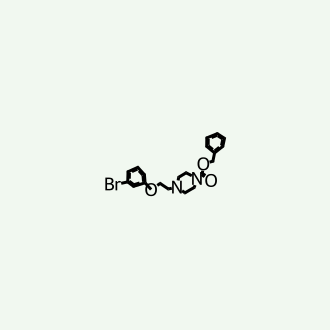 O=C(OCc1ccccc1)N1CCN(CCOc2cccc(Br)c2)CC1